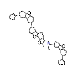 C=C/C(=C\c1c(C)oc2c1ccc1c3cc(-c4ccc5oc6ccc(-c7ccccc7)cc6c5c4)ccc3oc12)c1ccc2oc3ccc(-c4ccccc4)cc3c2c1